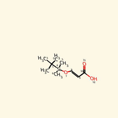 CC(C)(C)[Si](C)(C)OC=CC(=O)O